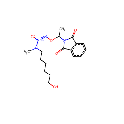 CC(O/N=[N+](/[O-])N(C)CCCCCCO)N1C(=O)c2ccccc2C1=O